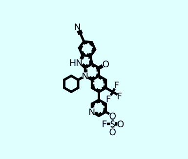 N#Cc1ccc2c(c1)[nH]c1c2c(=O)c2cc(C(F)(F)F)c(-c3cncc(OS(=O)(=O)F)c3)cc2n1C1CCCCC1